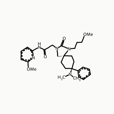 COCCCN1C(=O)N(CC(=O)Nc2cccc(OC)n2)C[C@]12CC[C@](c1ccccc1)(N(C)C)CC2